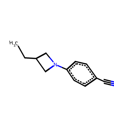 CCC1CN(c2ccc(C#N)cc2)C1